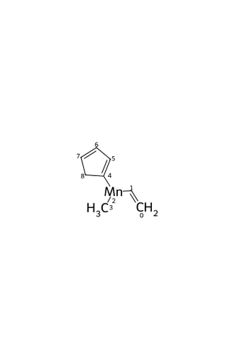 C=[CH][Mn]([CH3])[C]1=CC=CC1